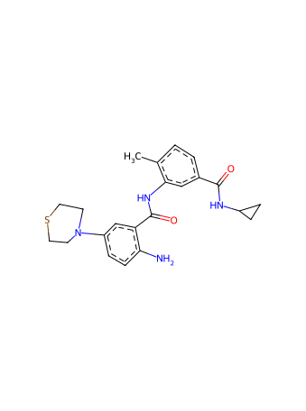 Cc1ccc(C(=O)NC2CC2)cc1NC(=O)c1cc(N2CCSCC2)ccc1N